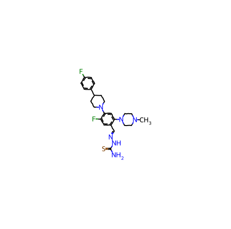 CN1CCN(c2cc(N3CCC(c4ccc(F)cc4)CC3)c(F)cc2C=NNC(N)=S)CC1